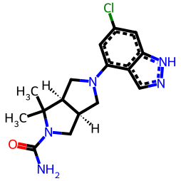 CC1(C)[C@H]2CN(c3cc(Cl)cc4[nH]ncc34)C[C@H]2CN1C(N)=O